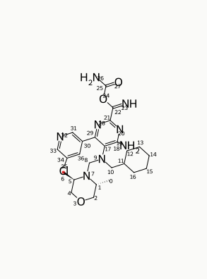 C[C@@H]1COC[C@@H](C)N1CN(CC1CCCCC1)c1c(N)nc(C(=N)OC(N)=O)nc1-c1cncc(Cl)c1